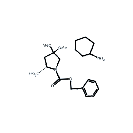 COC1(OC)C[C@@H](C(=O)O)N(C(=O)OCc2ccccc2)C1.NC1CCCCC1